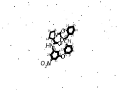 Cc1cccc(Oc2cc(NC(=O)C3CCCN3C(=O)OCc3ccccc3)cc([N+](=O)[O-])c2)c1